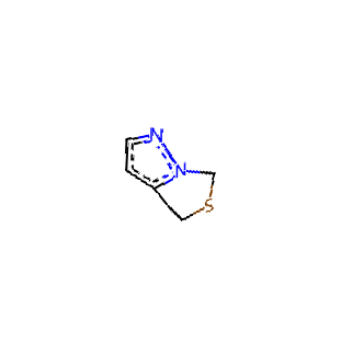 c1cc2n(n1)CSC2